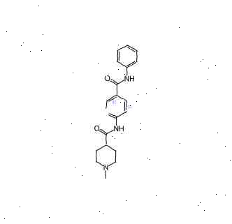 C=C(/C=C\C(=C/C)C(=O)Nc1ccccc1)NC(=O)C1CCN(C)CC1